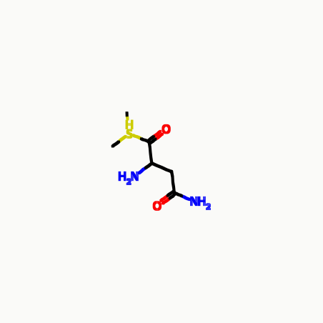 C[SH](C)C(=O)C(N)CC(N)=O